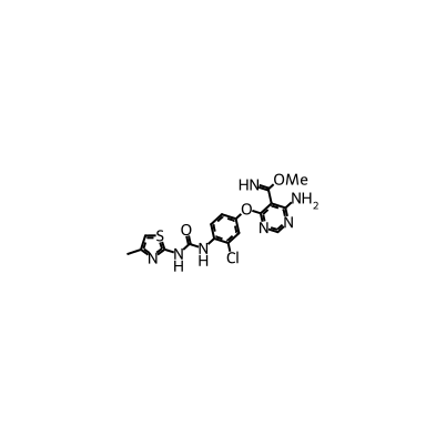 COC(=N)c1c(N)ncnc1Oc1ccc(NC(=O)Nc2nc(C)cs2)c(Cl)c1